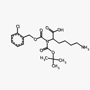 CC(C)(C)OC(=O)N(C(=O)OCc1ccccc1Cl)C(CCCCN)C(=O)O